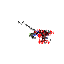 CCCCCCCCCCCCCCCCCC(=O)N[C@@H](COC1OC(CO)C(OC2OC(CO)C(OC3OC(CO)C(O)C(OC4OC(CO)C(O)C(O)C4O)C3C)C(OC3(NOC=O)CC(O)C(C)C([C@H](O)[C@H](O)CO)O3)C2O)C(O)C1O)[C@H](O)/C=C/C(=O)Nc1csc(C(F)(F)F)c1-c1ccccc1